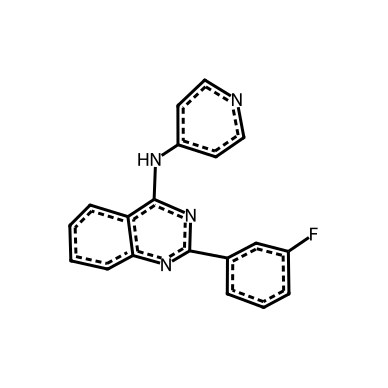 Fc1cccc(-c2nc(Nc3ccncc3)c3ccccc3n2)c1